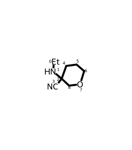 CCNC1(C#N)CCCOC1